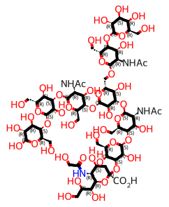 CC(=O)N[C@H]1[C@H](OC[C@H]2O[C@@H](O[C@H]3[C@H](O)[C@@H](NC(C)=O)[C@H](O[C@H]4[C@@H](O)[C@@H](CO)O[C@@H](O[C@H]5[C@H](O)[C@@H](O)[C@H](O)O[C@@H]5CO)[C@@H]4O)O[C@@H]3CO)[C@H](O)[C@@H](O[C@@H]3O[C@H](CO)[C@@H](O[C@@H]4O[C@H](CO)[C@H](O)[C@H](O[C@]5(C(=O)O)C[C@H](O)[C@@H](NC(=O)CO)[C@H]([C@H](O)[C@H](O)CO)O5)[C@H]4O)[C@H](O)[C@H]3NC(C)=O)[C@H]2O)O[C@H](CO)[C@@H](O[C@@H]2O[C@H](CO)[C@H](O)[C@H](O)[C@H]2O)[C@@H]1O